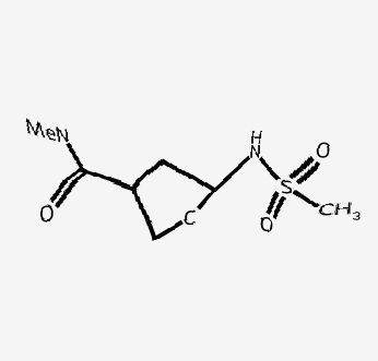 CNC(=O)C1CCC(NS(C)(=O)=O)C1